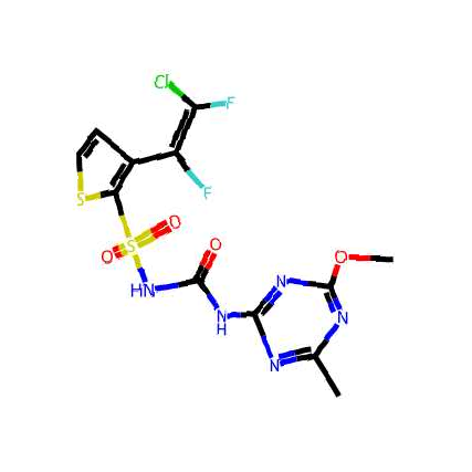 COc1nc(C)nc(NC(=O)NS(=O)(=O)c2sccc2C(F)=C(F)Cl)n1